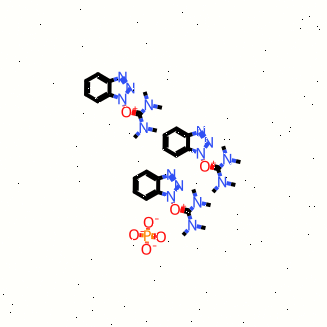 CN(C)C(=[O+]n1nnc2ccccc21)N(C)C.CN(C)C(=[O+]n1nnc2ccccc21)N(C)C.CN(C)C(=[O+]n1nnc2ccccc21)N(C)C.O=P([O-])([O-])[O-]